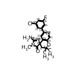 CN1C(=O)C2(CC(C)(C)Oc3cnc(-c4cc(F)cc(Cl)c4)cc32)N=C1N